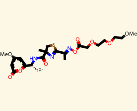 CCC[C@@H](NC(=O)C1(C)CSC(/C(C)=N/OC(=O)COCCOCCOC)=N1)c1cc(OC)cc(=O)o1